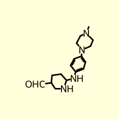 CN1CCN(c2ccc(NC3CCC(C=O)CN3)cc2)CC1